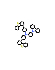 c1cc(N(c2ccc(-c3cccc4sc5ccccc5c34)cc2)c2ccc(-c3cccc4sc5ccccc5c34)cc2)cc(-n2c3ccccc3c3ccccc32)c1